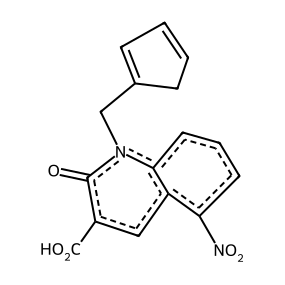 O=C(O)c1cc2c([N+](=O)[O-])cccc2n(CC2=CC=CC2)c1=O